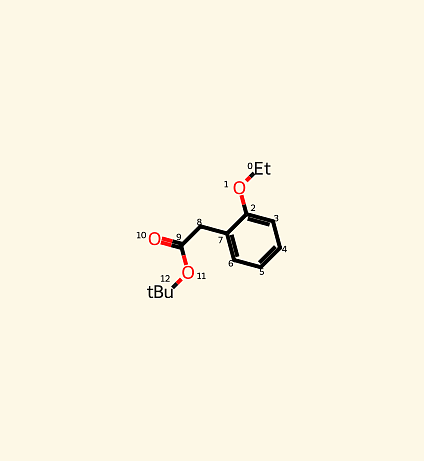 CCOc1ccccc1CC(=O)OC(C)(C)C